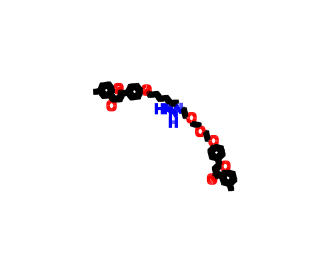 Cc1ccc2oc(-c3ccc(OCCCCC4=CN(CCOCCOCCOc5ccc(-c6cc(=O)c7cc(C)ccc7o6)cc5)NN4)cc3)cc(=O)c2c1